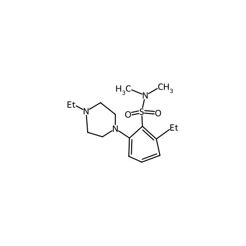 CCc1cccc(N2CCN(CC)CC2)c1S(=O)(=O)N(C)C